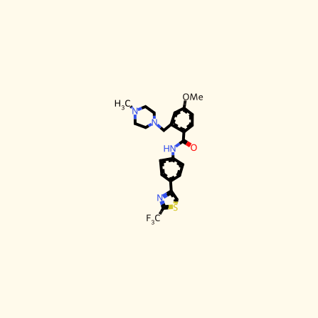 COc1ccc(C(=O)Nc2ccc(-c3csc(C(F)(F)F)n3)cc2)c(CN2CCN(C)CC2)c1